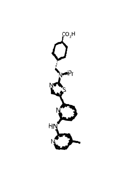 Cc1ccnc(Nc2cccc(-c3cnc(N(C[C@H]4CC[C@H](C(=O)O)CC4)C(C)C)s3)n2)c1